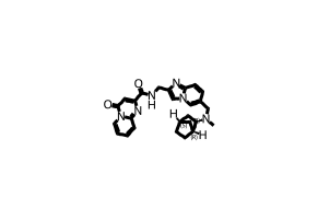 CN(Cc1ccc2nc(CNC(=O)c3cc(=O)n4ccccc4n3)cn2c1)[C@@H]1C[C@H]2CC[C@@H]1C2